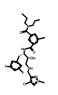 CCCN(CCC)C(=O)c1cc(C)cc(C(=O)N[C@@H](Cc2cc(F)cc(F)c2)[C@H](O)CNCc2nn(C)cc2Cl)c1